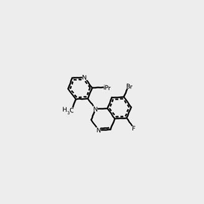 Cc1ccnc(C(C)C)c1N1CN=Cc2c(F)cc(Br)cc21